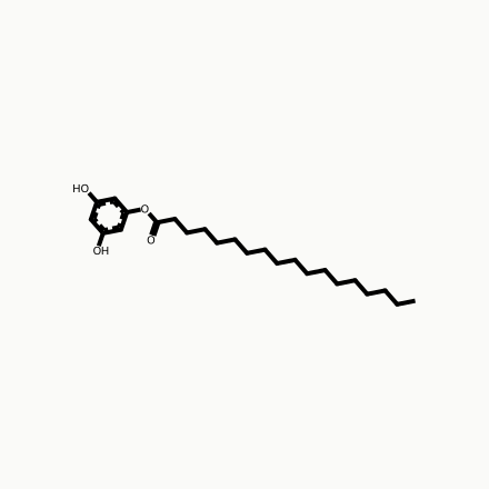 CCCCCCCCCCCCCCCCCC(=O)Oc1cc(O)cc(O)c1